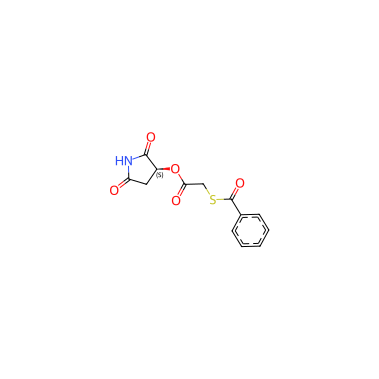 O=C1C[C@H](OC(=O)CSC(=O)c2ccccc2)C(=O)N1